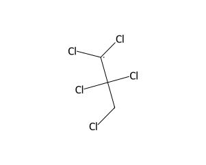 ClCC(Cl)(Cl)[C](Cl)Cl